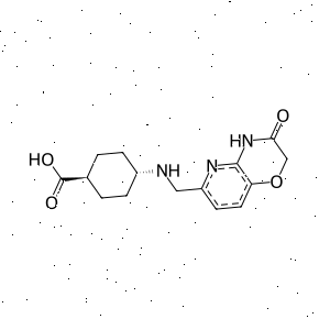 O=C1COc2ccc(CN[C@H]3CC[C@H](C(=O)O)CC3)nc2N1